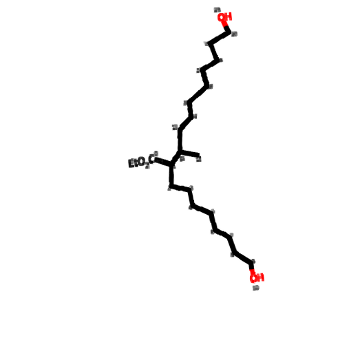 CCOC(=O)C(CCCCCCCCO)C(C)CCCCCCCCO